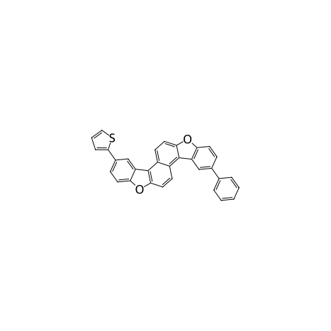 c1ccc(-c2ccc3oc4ccc5c(ccc6oc7ccc(-c8cccs8)cc7c65)c4c3c2)cc1